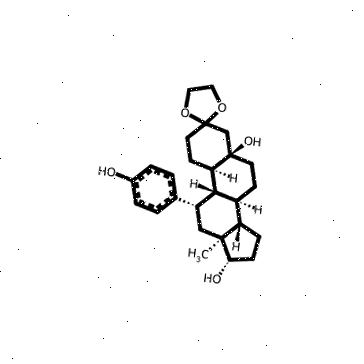 C[C@]12C[C@H](c3ccc(O)cc3)[C@H]3[C@@H](CC[C@@]4(O)CC5(CC[C@H]34)OCCO5)[C@@H]1CC[C@@H]2O